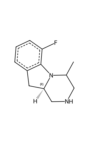 CC1CNC[C@H]2Cc3cccc(F)c3N12